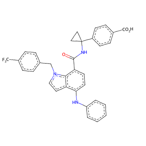 O=C(O)c1ccc(C2(NC(=O)c3ccc(Nc4ccccc4)c4ccn(Cc5ccc(C(F)(F)F)cc5)c34)CC2)cc1